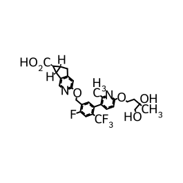 Cc1nc(OCCC(C)(O)CO)ccc1-c1cc(COc2cc3c(cn2)[C@H]2[C@@H](C3)[C@@H]2C(=O)O)c(F)cc1C(F)(F)F